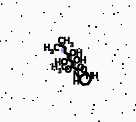 CO[C@@H](C(=O)NC1CCCCNC1=O)[C@H](O)[C@@H](O)[C@H](O)/C=C/C(C)C